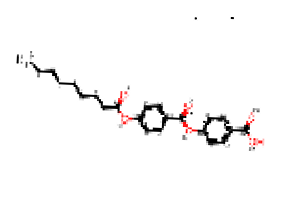 CCCCCCCCC(=O)Oc1ccc(C(=O)Oc2ccc(C(=O)O)cc2)cc1